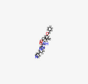 COC(=O)C(Cc1ccc(OCc2ccccc2)cc1)NC(=O)c1cn2cc(-c3ccncc3)ccc2n1